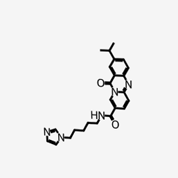 CC(C)c1ccc2nc3ccc(C(=O)NCCCCCn4ccnc4)cn3c(=O)c2c1